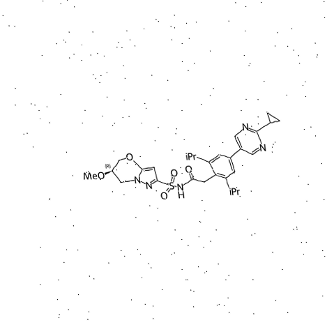 CO[C@H]1COc2cc(S(=O)(=O)NC(=O)Cc3c(C(C)C)cc(-c4cnc(C5CC5)nc4)cc3C(C)C)nn2C1